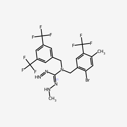 CN/N=C(\N=N)N(Cc1cc(C(F)(F)F)cc(C(F)(F)F)c1)Cc1cc(C(F)(F)F)c(C)cc1Br